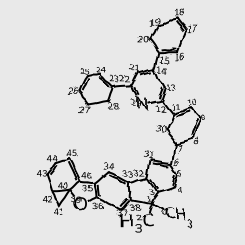 CC1(C)c2ccc(C3C=CC=C(c4cc(C5=CC=CCC5)cc(C5=CC=CCC5)n4)C3)cc2-c2cc3c(cc21)OC12CC1C=CC=C32